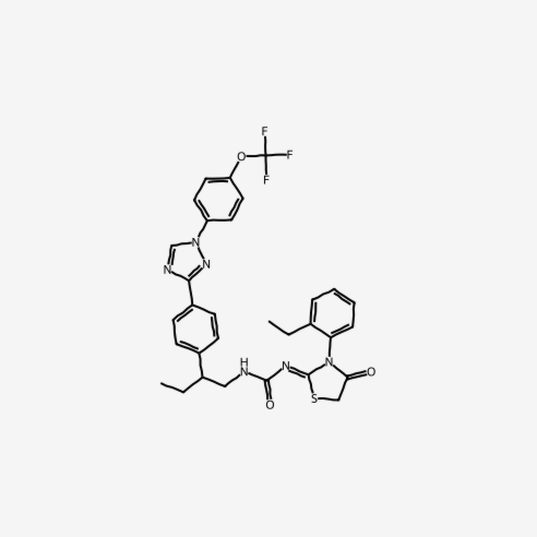 CCc1ccccc1N1C(=O)CS/C1=N\C(=O)NCC(CC)c1ccc(-c2ncn(-c3ccc(OC(F)(F)F)cc3)n2)cc1